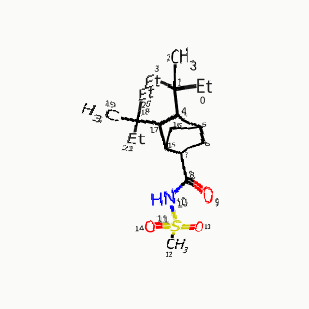 CCC(C)(CC)C1C2CC(C(=O)NS(C)(=O)=O)C(C2)C1C(C)(CC)CC